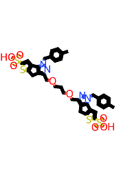 Cc1ccc(Cn2nc(COCCCOCc3nn(Cc4ccc(C)cc4)c4c3Cc3sc(S(=O)(=O)O)cc3-4)c3c2-c2cc(S(=O)(=O)O)sc2C3)cc1